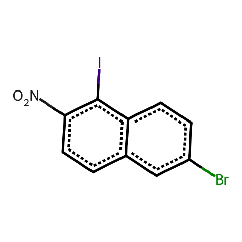 O=[N+]([O-])c1ccc2cc(Br)ccc2c1I